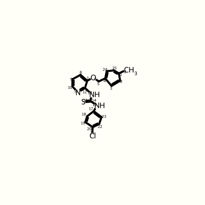 Cc1ccc(COc2cccnc2NC(=S)Nc2ccc(Cl)cc2)cc1